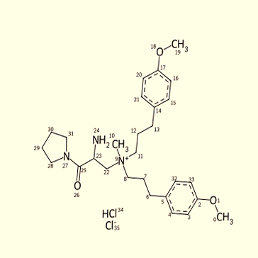 COc1ccc(CCC[N+](C)(CCCc2ccc(OC)cc2)CC(N)C(=O)N2CCCC2)cc1.Cl.[Cl-]